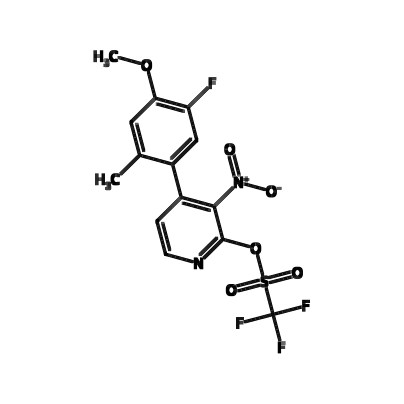 COc1cc(C)c(-c2ccnc(OS(=O)(=O)C(F)(F)F)c2[N+](=O)[O-])cc1F